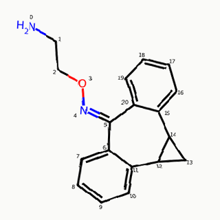 NCCON=C1c2ccccc2C2CC2c2ccccc21